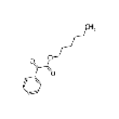 CCCCCCOC(=O)C(=O)c1ccccc1